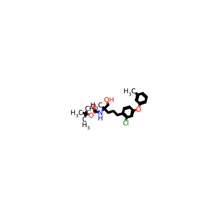 Cc1cccc(Oc2ccc(CCCC(C)(CO)NC(=O)OC(C)(C)C)c(Cl)c2)c1